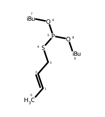 CC=CCSP(OC(C)CC)OC(C)CC